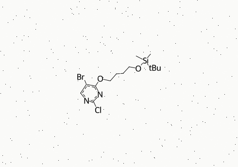 CC(C)(C)[Si](C)(C)OCCCCOc1nc(Cl)ncc1Br